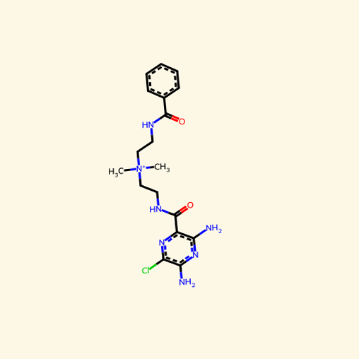 C[N+](C)(CCNC(=O)c1ccccc1)CCNC(=O)c1nc(Cl)c(N)nc1N